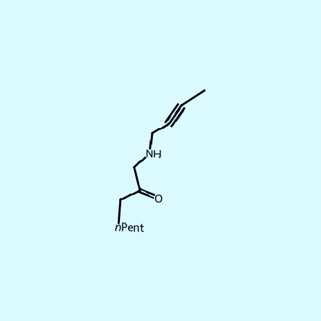 CC#CCNCC(=O)CCCCCC